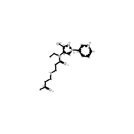 CCN(C(=O)CCSCCC(C)=O)c1cn(-c2cccnc2)nc1Cl